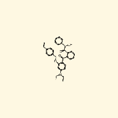 C=Cc1ccc(COc2cc(N(CC)CC)ccc2C(=O)c2ccccc2C(=O)C(O)c2ccccc2)cc1